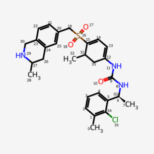 Cc1cccc([C@H](C)NC(=O)NC2=CC=C(S(=O)(=O)Cc3ccc4c(c3)CC(C)NC4)C(C)C2)c1Cl